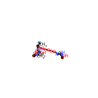 Cc1ncsc1-c1ccc(CNC(=O)[C@@H]2C[C@@H](O)CN2C(=O)[C@H](C(C)C)N2Cc3ccccc3C2=O)c(OCCOCCOCCOCCOCCOCCn2cc(-c3cc(-c4ccccc4O)nnc3N)cn2)c1